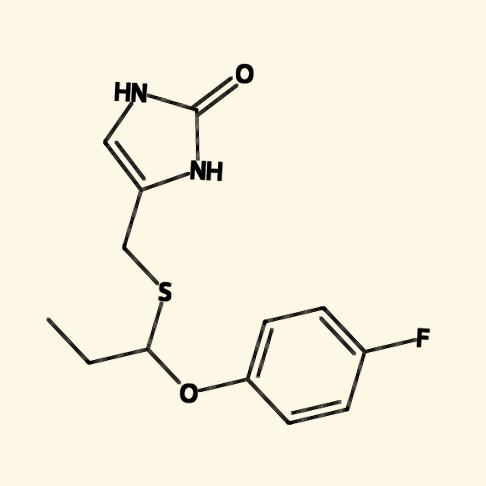 CCC(Oc1ccc(F)cc1)SCc1c[nH]c(=O)[nH]1